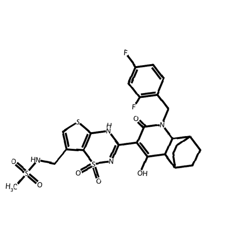 CS(=O)(=O)NCc1csc2c1S(=O)(=O)N=C(C1=C(O)C3C4CCC(CC4)C3N(Cc3ccc(F)cc3F)C1=O)N2